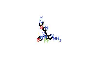 Nc1cc(C(F)(F)F)c(-c2cc(-c3cncc(OC4CCNCC4)c3)nc(N3CCOCC3)n2)cn1